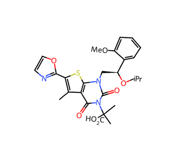 COc1ccccc1[C@H](Cn1c(=O)n(C(C)(C)C(=O)O)c(=O)c2c(C)c(-c3ncco3)sc21)OC(C)C